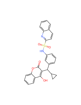 O=c1oc2ccccc2c(O)c1C(c1cccc(NS(=O)(=O)c2ccc3ccccc3n2)c1)C1CC1